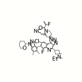 C=C(F)C(=O)N1CC[C@H](n2nnc3c(C4CC(C)(N(C)CC)C4)nc4c(F)c(-c5c(C)c(C)cc6c5cnn6C5CCCCO5)c(Cl)cc4c32)C[C@H]1CC#N